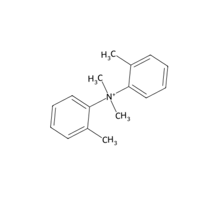 Cc1ccccc1[N+](C)(C)c1ccccc1C